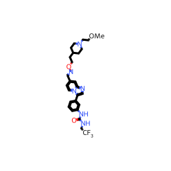 COCCN1CCC(CCON=Cc2ccn3c(-c4cccc(NC(=O)NCC(F)(F)F)c4)cnc3c2)CC1